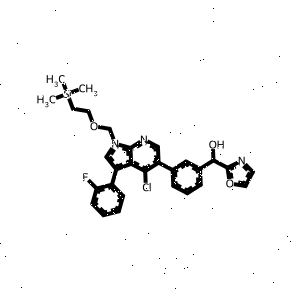 C[Si](C)(C)CCOCn1cc(-c2ccccc2F)c2c(Cl)c(-c3cccc(C(O)c4ncco4)c3)cnc21